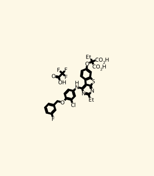 CCc1nc(Nc2ccc(OCc3cccc(F)c3)c(Cl)c2)c2c(n1)sc1cc(OC(CC)(C(=O)O)C(=O)O)ccc12.O=C(O)C(F)(F)F